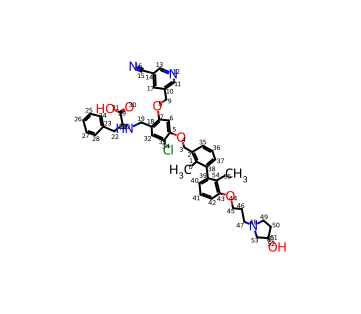 Cc1c(COc2cc(OCc3cncc(C#N)c3)c(CN[C@@H](Cc3ccccc3)C(=O)O)cc2Cl)cccc1-c1cccc(OCCCN2CC[C@@H](O)C2)c1C